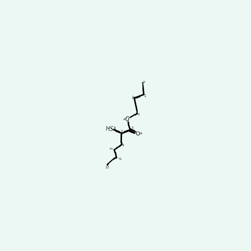 CCCCOC(=O)C(S)CCCC